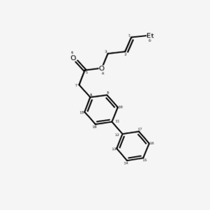 CCC=CCOC(=O)Cc1ccc(-c2ccccc2)cc1